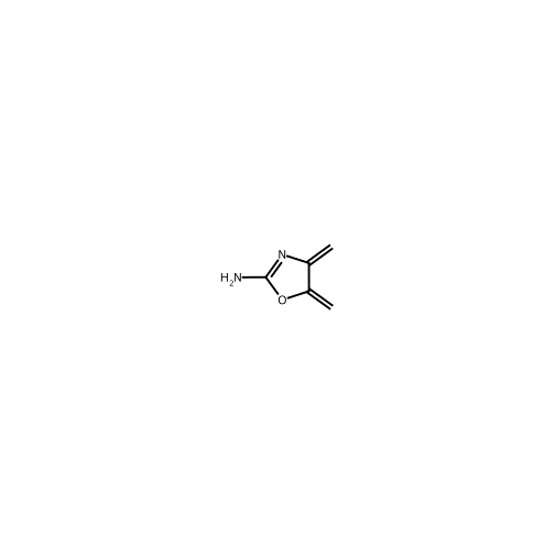 C=c1nc(N)oc1=C